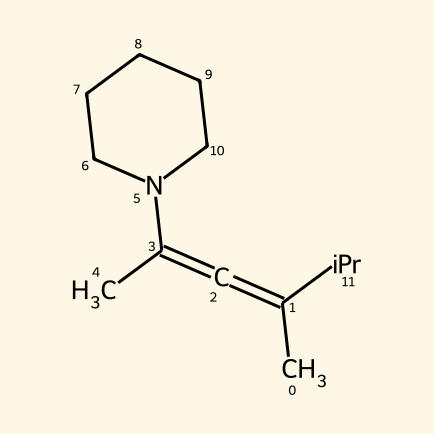 CC(=C=C(C)N1CCCCC1)C(C)C